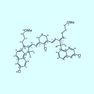 COCCC/N=C(\C=C\C1=C(Cl)C(=C/C=C2/N(CCCOC)c3ccc4cc(Cl)ccc4c3C2(C)C)/CCC1)C(C)(C)c1cccc2cc(Cl)ccc12